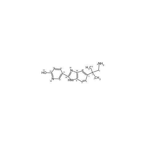 CC(C)(CN)c1ccc2[nH]c(-c3ccc(O)nc3)nc2c1